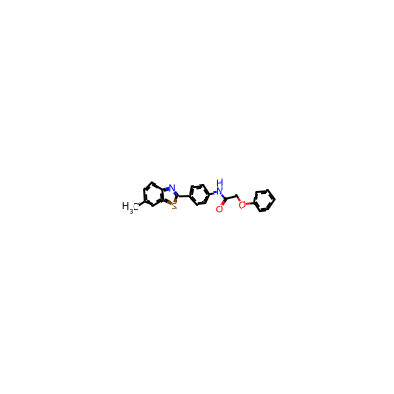 Cc1ccc2nc(-c3ccc(NC(=O)COc4ccccc4)cc3)sc2c1